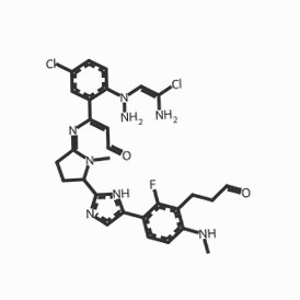 CNc1ccc(-c2cnc(C3CC/C(=N/C(=C\C=O)c4cc(Cl)ccc4N(N)/C=C(\N)Cl)N3C)[nH]2)c(F)c1CCC=O